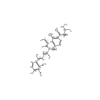 C/C=C\N(C)C(Nc1ccc(C(=O)NC(C)CC)c(Cl)c1)/C(C)=N/C=C(\C)c1ccc(C)c(F)c1F